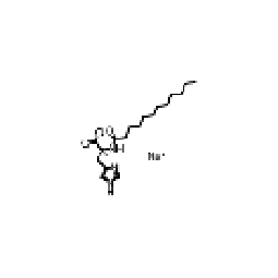 CCCCCCCCCCCC(=O)N[C@@H](Cc1c[nH]cn1)C(=O)[O-].[Na+]